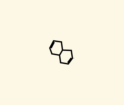 [C]1=CCC2CC=CCC2C1